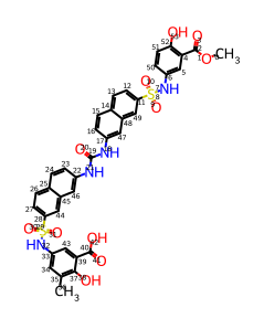 COC(=O)c1cc(NS(=O)(=O)c2ccc3ccc(NC(=O)Nc4ccc5ccc(S(=O)(=O)Nc6cc(C)c(O)c(C(=O)O)c6)cc5c4)cc3c2)ccc1O